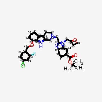 CC(C)(C)OC(=O)c1ccc2nc(CN3CCc4c([nH]c5c(OCc6ccc(Cl)cc6F)cccc45)C3)n(CC3CCO3)c2c1